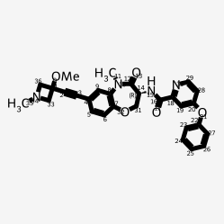 COC1(C#Cc2ccc3c(c2)N(C)C(=O)[C@H](NC(=O)c2cc(Oc4ccccc4)ccn2)CO3)CN(C)C1